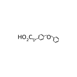 O=C(O)C1CC1c1ccc(COCc2ccccc2)cc1